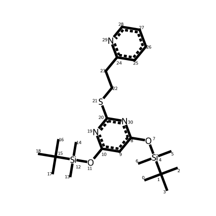 CC(C)(C)[Si](C)(C)Oc1cc(O[Si](C)(C)C(C)(C)C)nc(SCCc2ccccn2)n1